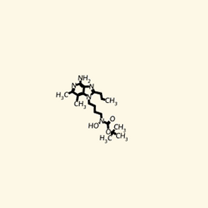 CCCc1nc2c(N)nc(C)c(C)c2n1CCCCN(O)C(=O)OC(C)(C)C